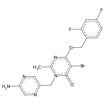 Cc1nc(OCc2ccc(F)cc2F)c(Br)c(=O)n1Cc1cnc(N)cn1